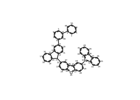 c1ccc(-c2cccc(-c3ccc4c(c3)-c3ccccc3C4c3ccc4oc5ccc(-n6c7ccccc7c7ccccc76)cc5c4c3)c2)cc1